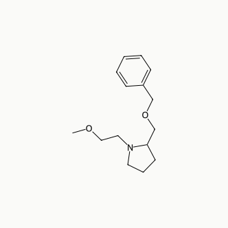 COCCN1CCCC1COCc1ccccc1